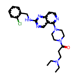 CCN(CC)CCC(=O)N1CCN(c2nccc3nc(NCc4ccccc4Cl)ncc23)CC1